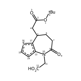 CC(C)(C)OC(=O)CC1CCC(=O)N(CC(=O)O)c2ccsc21